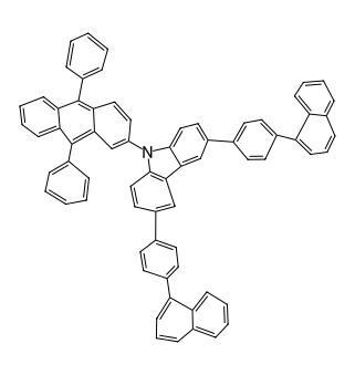 c1ccc(-c2c3ccccc3c(-c3ccccc3)c3cc(-n4c5ccc(-c6ccc(-c7cccc8ccccc78)cc6)cc5c5cc(-c6ccc(-c7cccc8ccccc78)cc6)ccc54)ccc23)cc1